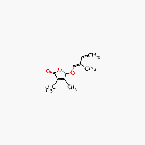 C=C/C(C)=C/OC1OC(=O)C(C)=C1C